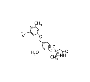 Cc1cc(OCc2ccc(C(C)[C@]3(C)CC(=O)NC3=O)cc2)cc(C2CC2)n1.O